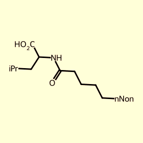 CCCCCCCCCCCCCC(=O)NC(CC(C)C)C(=O)O